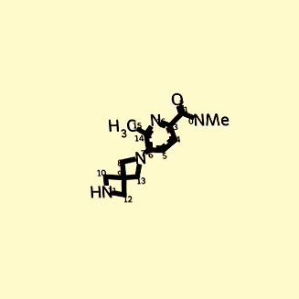 CNC(=O)c1ccc(N2CC3(CNC3)C2)c(C)n1